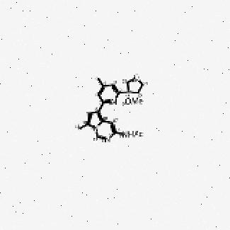 CO[C@@]1(c2cc(C)cc(-c3cc(C)n4cnc(NC(C)=O)cc34)n2)CCOC1